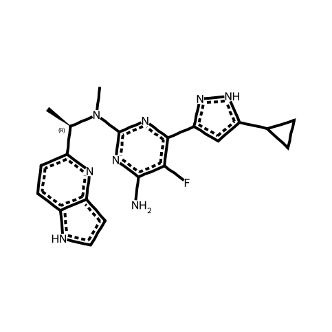 C[C@H](c1ccc2[nH]ccc2n1)N(C)c1nc(N)c(F)c(-c2cc(C3CC3)[nH]n2)n1